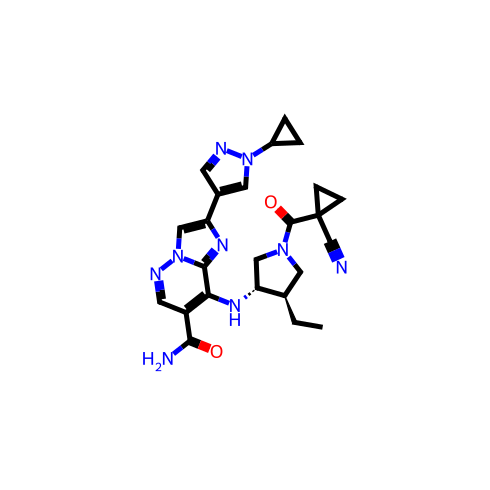 CC[C@@H]1CN(C(=O)C2(C#N)CC2)C[C@H]1Nc1c(C(N)=O)cnn2cc(-c3cnn(C4CC4)c3)nc12